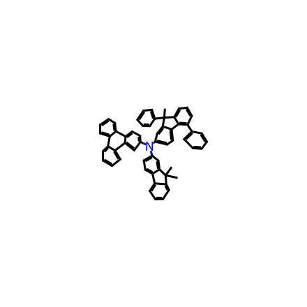 CC1(C)c2ccccc2-c2ccc(N(c3ccc4c(c3)C(C)(c3ccccc3)c3cccc(-c5ccccc5)c3-4)c3ccc4c5ccccc5c5ccccc5c4c3)cc21